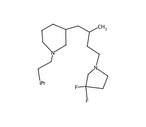 CC(C)CCN1CCCC(CC(C)CCN2CCC(F)(F)C2)C1